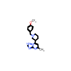 CC1=NC2=NCNN2C(C2CCCN(Cc3ccc(OC(F)(F)F)cc3)C2)=C1